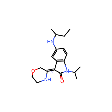 CCC(C)Nc1ccc2c(c1)/C(=C1\COCCN1)C(=O)N2C(C)C